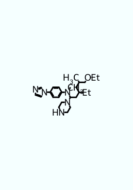 CCOCC(C)CC(CC)CC(N1CCNCC1)N(C)c1ccc(-n2ccnc2)cc1